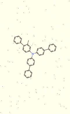 Cc1cc(N(c2ccc(-c3ccccc3)cc2)c2ccc(-c3ccccc3)cc2)ccc1-c1ccccc1